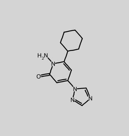 Nn1c(C2CCCCC2)cc(-n2cncn2)cc1=O